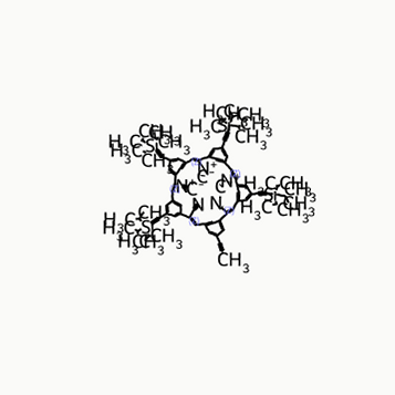 [C-]#[N+]/C1=C\c2cc(C#C[Si](C(C)C)(C(C)C)C(C)C)cc(c2)/C(C#N)=C/c2cc(C#CC)cc(c2)/C(C#N)=C/c2cc(C#C[Si](C(C)C)(C(C)C)C(C)C)cc(c2)/C([N+]#[C-])=C/c2cc(C#C[Si](C(C)C)(C(C)C)C(C)C)cc(c2)/C([N+]#[C-])=C/c2cc(C#C[Si](C(C)C)(C(C)C)C(C)C)cc1c2